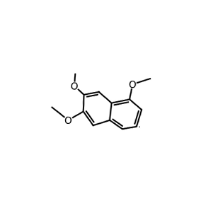 COc1cc2c[c]cc(OC)c2cc1OC